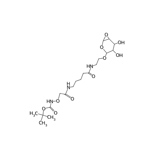 CC(C)(C)OC(=O)NOCC(=O)NCCCCC(=O)NCCOC1OC2OC2C(O)C1O